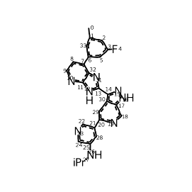 Cc1cc(F)cc(-c2ccnc3[nH]c(-c4n[nH]c5cnc(-c6cncc(NC(C)C)c6)cc45)nc23)c1